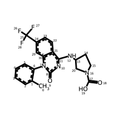 Cc1ccccc1-n1c(=O)nc(NC2CCN(C(=O)O)C2)c2ccc(C(F)(F)F)cc21